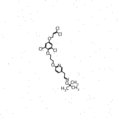 CC(C)(C)O/N=C/Cc1ccc(OCCCOc2c(Cl)cc(OCC=C(Cl)Cl)cc2Cl)nc1